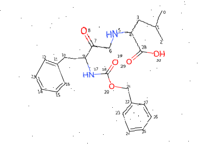 CC(C)CC(NCC(=O)C(Cc1ccccc1)NC(=O)OCc1ccccc1)C(=O)O